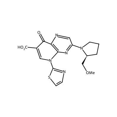 COC[C@@H]1CCCN1c1cnc2c(=O)c(C(=O)O)cn(-c3nccs3)c2n1